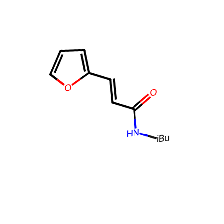 CCC(C)NC(=O)/C=C/c1ccco1